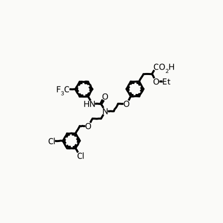 CCOC(Cc1ccc(OCCN(CCOCc2cc(Cl)cc(Cl)c2)C(=O)Nc2cccc(C(F)(F)F)c2)cc1)C(=O)O